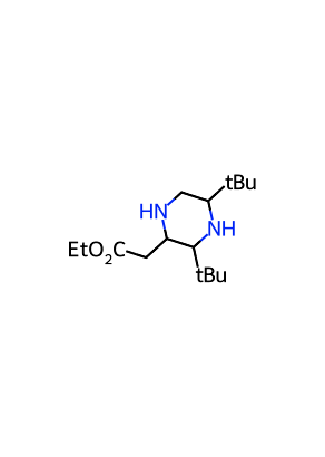 CCOC(=O)CC1NCC(C(C)(C)C)NC1C(C)(C)C